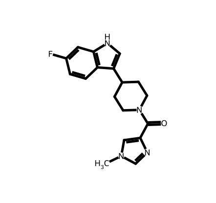 Cn1cnc(C(=O)N2CCC(c3c[nH]c4cc(F)ccc34)CC2)c1